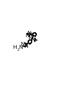 CC(C)(C)n1c(-c2ccccc2-n2cncn2)nc2cc(-c3cnc(N)cn3)ccc21